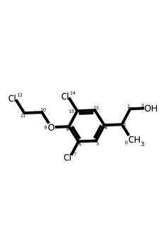 CC(CO)c1cc(Cl)c(OCCCl)c(Cl)c1